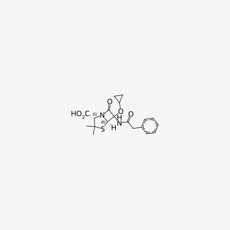 CC1(C)S[C@H]2N(C(=O)C2(NC(=O)Cc2ccccc2)OC2CC2)[C@H]1C(=O)O